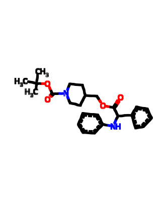 CC(C)(C)OC(=O)N1CCC(COC(=O)C(Nc2ccccc2)c2ccccc2)CC1